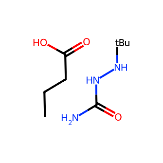 CC(C)(C)NNC(N)=O.CCCC(=O)O